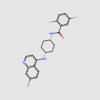 O=C(N[C@H]1CC[C@@H](Nc2ccnc3cc(Cl)ccc23)CC1)c1cc(F)ccc1F